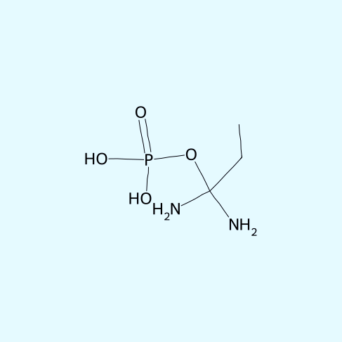 CCC(N)(N)OP(=O)(O)O